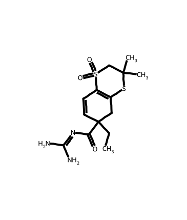 CCC1(C(=O)N=C(N)N)C=CC2=C(C1)SC(C)(C)CS2(=O)=O